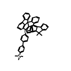 CC1(C)c2ccccc2-c2ccc(N(c3ccc(-c4ccc(S(C)(C)C)cc4)cc3)c3cccc4c3C3(c5ccccc5-c5ccccc53)c3ccccc3-4)cc21